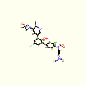 Cc1ncc(-c2cc(F)cc(-c3ccc(N(C#CN(C)C)C=O)c(Cl)c3)c2O)cc1N1CC(C)(O)C1